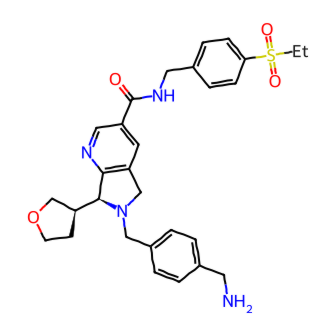 CCS(=O)(=O)c1ccc(CNC(=O)c2cnc3c(c2)CN(Cc2ccc(CN)cc2)[C@H]3[C@H]2CCOC2)cc1